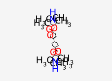 CC1(C)CC(OC(=O)C2CCC(C3=CCC(C(=O)OC4CC(C)(C)NC(C)(C)C4)OC3)CC2)CC(C)(C)N1